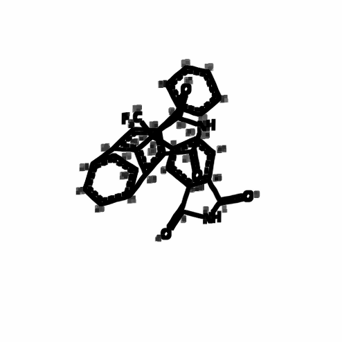 O=C1NC(=O)c2cc(C(c3ccccc3)(c3c4cc5c(c3-c3ccc-4cc3)C(=O)NC5=O)C(F)(F)F)ccc21